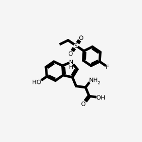 CCS(=O)(=O)c1ccc(F)cc1.NC(Cc1c[nH]c2ccc(O)cc12)C(=O)O